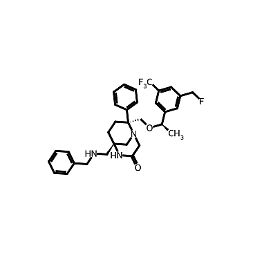 C[C@@H](OC[C@@]1(c2ccccc2)CC[C@]2(CNCc3ccccc3)CN1CC(=O)N2)c1cc(CF)cc(C(F)(F)F)c1